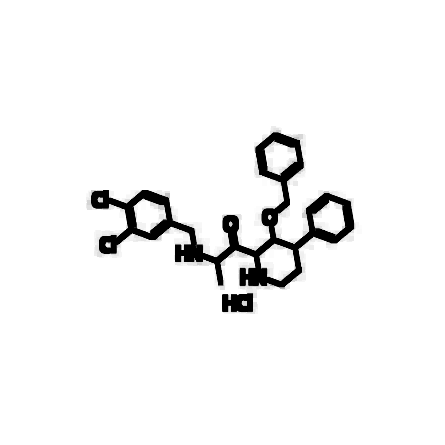 CC(NCc1ccc(Cl)c(Cl)c1)C(=O)C1NCCC(c2ccccc2)C1OCc1ccccc1.Cl